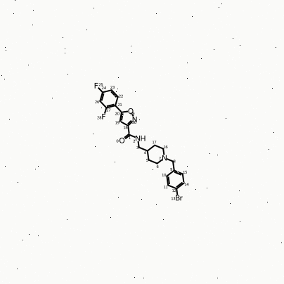 O=C(NCC1CCN(Cc2ccc(Br)cc2)CC1)c1cc(-c2ccc(F)cc2F)on1